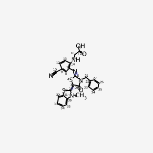 CN1/C(=C2/S/C(=N\c3cc(C#N)ccc3NCC(=O)O)N(Cc3ccccc3)C2=O)Sc2ccccc21